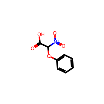 O=C(O)C(Oc1ccccc1)[N+](=O)[O-]